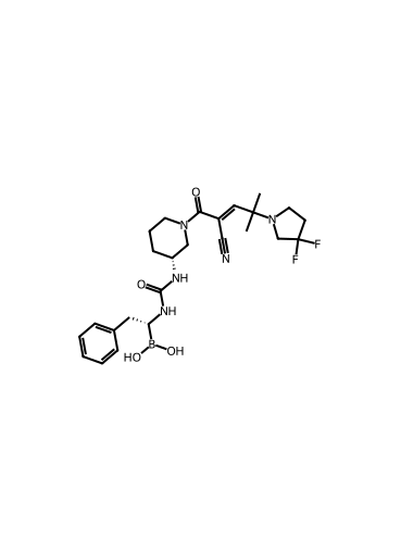 CC(C)(/C=C(\C#N)C(=O)N1CCC[C@@H](NC(=O)N[C@@H](Cc2ccccc2)B(O)O)C1)N1CCC(F)(F)C1